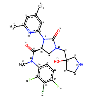 Cc1cc(C(F)(F)F)cc(N2C(=O)N(CC3(O)CCNC3)C[C@H]2C(=O)N(C)c2ccc(F)c(Cl)c2F)n1